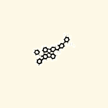 Cc1ccc(C)c(-c2ccc3c(=O)c4cc5c(cc4oc3c2)-c2ccccc2C52c3ccccc3-c3cc4c5ccccc5n(-c5ccccc5)c4cc32)c1